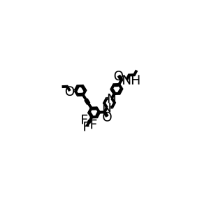 CCCNC(=O)c1ccc(N2CCN(C(=O)c3cc(C#Cc4cccc(OCC)c4)cc(C(F)(F)F)c3)CC2)cc1